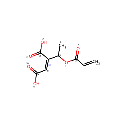 C=CC(=O)OC(C)/C(=C/C(=O)O)C(=O)O